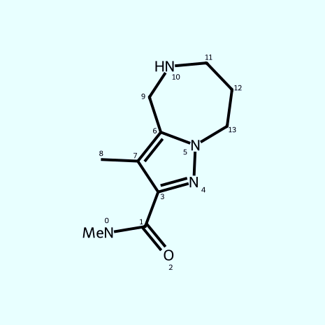 CNC(=O)c1nn2c(c1C)CNCCC2